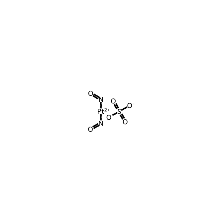 O=S(=O)([O-])[O-].O=[N][Pt+2][N]=O